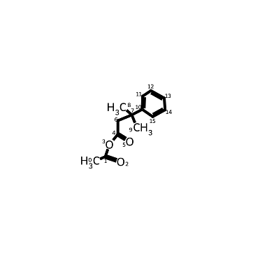 CC(=O)OC(=O)CC(C)(C)c1ccccc1